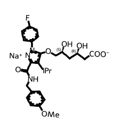 COc1ccc(CNC(=O)c2nn(-c3ccc(F)cc3)c(OC[C@@H](O)C[C@@H](O)CC(=O)[O-])c2C(C)C)cc1.[Na+]